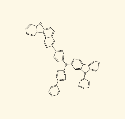 C1=CC2Oc3ccc4cc(-c5ccc(N(c6ccc(-c7ccccc7)cc6)c6ccc7c8ccccc8n(-c8ccccc8)c7c6)cc5)ccc4c3C2C=C1